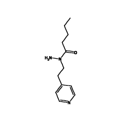 CCCCC(=O)N(N)CCc1ccncc1